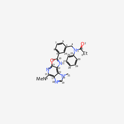 CCC(=O)N(Cc1cccc(-c2nc3c(nc(NC)c4ncn(C)c43)o2)c1)c1ccccc1